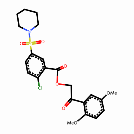 COc1ccc(OC)c(C(=O)COC(=O)c2cc(S(=O)(=O)N3CCCCC3)ccc2Cl)c1